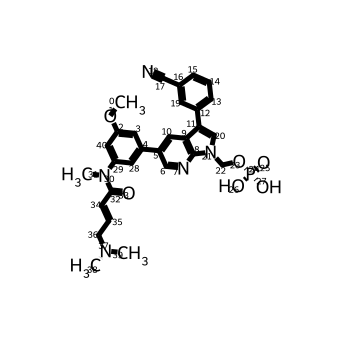 COc1cc(-c2cnc3c(c2)c(-c2cccc(C#N)c2)cn3COP(=O)(O)O)cc(N(C)C(=O)C=CCN(C)C)c1